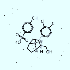 CN1C2CC[C@@H]1[C@H](CO)[C@@H](c1ccc(Cl)c(Cl)c1)C2.Cc1ccc(S(=O)(=O)O)cc1